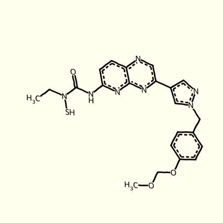 CCN(S)C(=O)Nc1ccc2ncc(-c3cnn(Cc4ccc(OCOC)cc4)c3)nc2n1